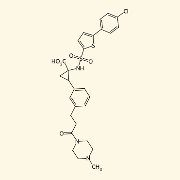 CN1CCN(C(=O)CCc2cccc(C3CC3(NS(=O)(=O)c3ccc(-c4ccc(Cl)cc4)s3)C(=O)O)c2)CC1